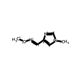 CO/N=C/c1cn(C)cn1